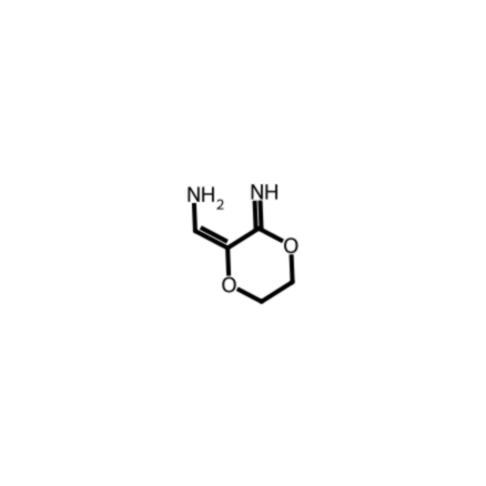 N=C1OCCO/C1=C/N